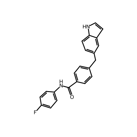 O=C(Nc1ccc(F)cc1)c1ccc(Cc2ccc3[nH]ccc3c2)cc1